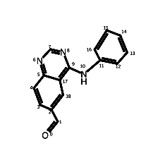 O=Cc1ccc2ncnc(Nc3ccccc3)c2c1